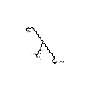 CCCCC/C=C\C/C=C\CCCCCCCCN(CCCCCCCC/C=C\C/C=C\CCCCC)CCOC(=O)CNC(=N)N